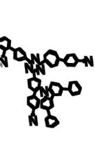 N#Cc1ccc(C2=CC=C(c3nc(-c4ccc(-c5ccccc5C#N)cc4)nc(-c4ccc(-c5ccc(C#N)cc5)c(-n5c6ccc(-c7ccccc7)cc6c6cc(-c7ccccc7)ccc65)c4)n3)CC#C2)cc1